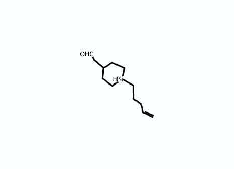 C=CCCC[SiH]1CCC(CC=O)CC1